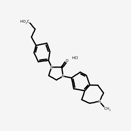 CN1CCc2ccc(N3CCN(c4ccc(CCC(=O)O)cc4)C3=O)cc2CC1.Cl